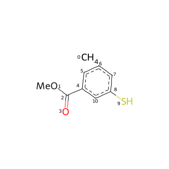 C.COC(=O)c1cccc(S)c1